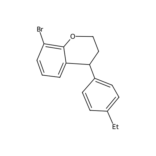 CCc1ccc(C2CCOc3c(Br)cccc32)cc1